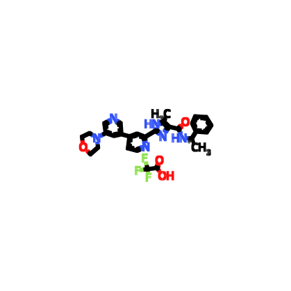 Cc1[nH]c(-c2cc(-c3cncc(N4CCOCC4)c3)ccn2)nc1C(=O)N[C@H](C)c1ccccc1.O=C(O)C(F)(F)F